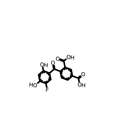 O=C(O)c1ccc(C(=O)c2cc(F)c(O)cc2O)c(C(=O)O)c1